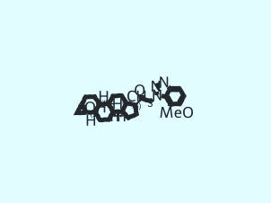 COc1cccc2nnn(CC(=O)[C@H]3CC[C@H]4[C@@H]5CC[C@@H]6C7C[C@@]7(O)CC[C@@H]6[C@H]5CC[C@]34C)c12